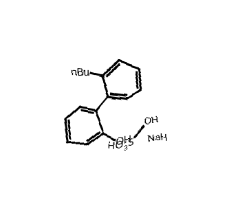 CCCCc1ccccc1-c1ccccc1O.O=S(=O)(O)O.[NaH]